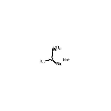 CCC(C)B(C(C)CC)C(C)CC.O.[NaH]